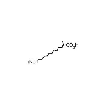 CCCCCCCCCCCCCCCCCCC=C(C)C(=O)O